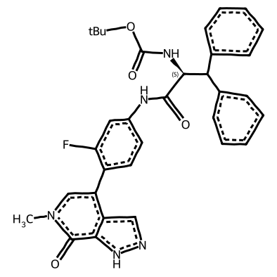 Cn1cc(-c2ccc(NC(=O)[C@@H](NC(=O)OC(C)(C)C)C(c3ccccc3)c3ccccc3)cc2F)c2cn[nH]c2c1=O